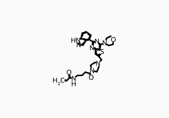 C=CC(=O)NCCCC(=O)N1CCN(Cc2cc3nc(-c4cccc5[nH]ncc45)nc(N4CCOCC4)c3s2)CC1